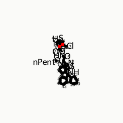 CCCCCON=C(C(=O)NOC(=O)C1=C(CCl)C2S[C@@H]3[C@@H]2C(=O)N13)c1nsc(NC(c2ccccc2)(c2ccccc2)c2ccccc2)n1